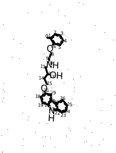 Cc1ccccc1OCCNCC(O)CCOc1ccc2[nH]c3ccccc3c2c1